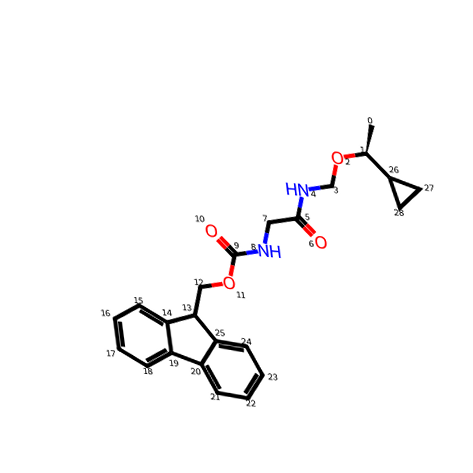 C[C@H](OCNC(=O)CNC(=O)OCC1c2ccccc2-c2ccccc21)C1CC1